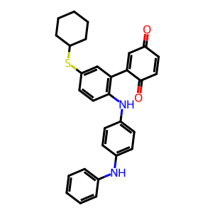 O=C1C=CC(=O)C(c2cc(SC3CCCCC3)ccc2Nc2ccc(Nc3ccccc3)cc2)=C1